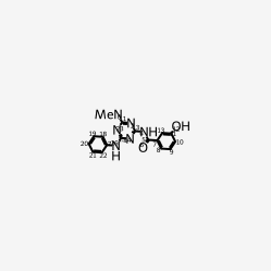 CNc1nc(NC(=O)c2cccc(O)c2)nc(Nc2ccccc2)n1